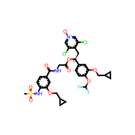 CS(=O)(=O)Nc1ccc(C(=O)NCC(=O)O[C@@H](Cc2c(Cl)c[n+]([O-])cc2Cl)c2ccc(OC(F)F)c(OCC3CC3)c2)cc1OCC1CC1